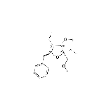 CC[C@H]1[C@H](Cc2ccccc2)O[C@](CC)(COC)[C@H]1OI